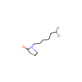 O=C1CCCN1CCCCCC(Cl)Cl